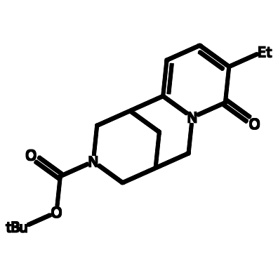 CCc1ccc2n(c1=O)CC1CC2CN(C(=O)OC(C)(C)C)C1